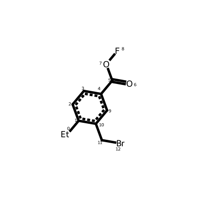 CCc1ccc(C(=O)OF)cc1CBr